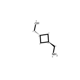 NC[C@H]1C[C@H](CO)C1